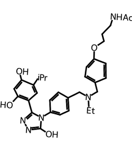 CCN(Cc1ccc(OCCCNC(C)=O)cc1)Cc1ccc(-n2c(O)nnc2-c2cc(C(C)C)c(O)cc2O)cc1